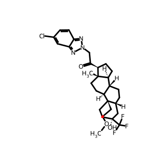 COCC[C@]12CC[C@](O)(C(F)(F)F)C[C@H]1CC[C@H]1[C@@H]3CC[C@H](C(=O)Cn4nc5ccc(Cl)cc5n4)[C@@]3(C)CC[C@@H]12